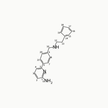 Nc1cccc(-c2ccc(CNCCc3ccccc3)cc2)n1